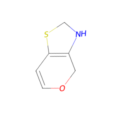 C1=CC2=C(CO1)NCS2